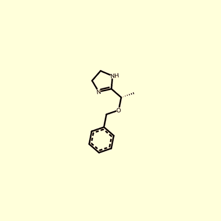 C[C@H](OCc1ccccc1)C1=NCCN1